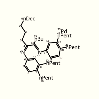 CCCCCCCCCCCCCC(=Nc1ccc(CCCCC)c(CCCCC)c1)C(CCCC)=Nc1ccc(CCCCC)c(CCCCC)c1.[Pd]